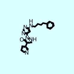 O=c1c(-c2cccnc2)c[nH]n1-c1cc(NCCCCc2ccccc2)ncn1